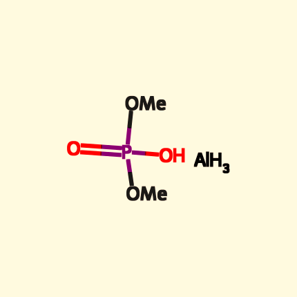 COP(=O)(O)OC.[AlH3]